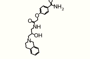 NC(=O)c1ccc(OCC(=O)NCC(O)CN2CCc3ccccc3C2)cc1